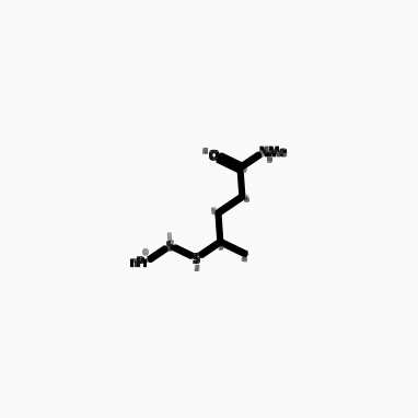 CCCSSC(C)CCC(=O)NC